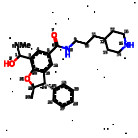 CNC(O)c1cc(C(=O)NCCCC2CCNCC2)cc2c1O[C@H](C)[C@H]2c1ccccc1